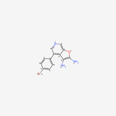 Nc1oc2cncc(-c3ccc(Br)cc3)c2c1N